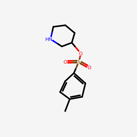 Cc1ccc(S(=O)(=O)OC2CCCNC2)cc1